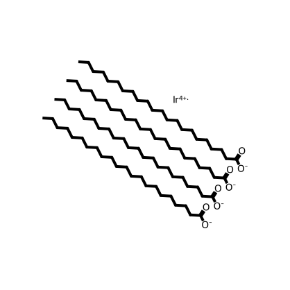 CCCCCCCCCCCCCCCCCCCCCC(=O)[O-].CCCCCCCCCCCCCCCCCCCCCC(=O)[O-].CCCCCCCCCCCCCCCCCCCCCC(=O)[O-].CCCCCCCCCCCCCCCCCCCCCC(=O)[O-].[Ir+4]